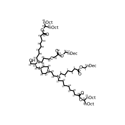 CCCCCCCCCCCOC(=O)CCCCCN(CCCCCCCC(=O)OC(CCCCCCCC)CCCCCCCC)CCN1CCN(C[C@@H](CO)N(CCCCCCCC(=O)OC(CCCCCCCC)CCCCCCCC)CCCCCC(=O)OCCCCCCCCCCC)CC1